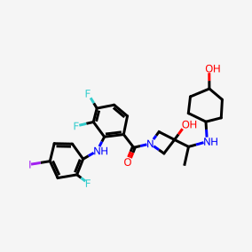 CC(NC1CCC(O)CC1)C1(O)CN(C(=O)c2ccc(F)c(F)c2Nc2ccc(I)cc2F)C1